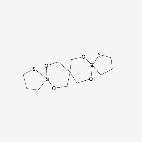 C1CS[Si]2(C1)OCC1(CO2)CO[Si]2(CCCS2)OC1